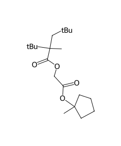 CC(C)(C)CC(C)(C(=O)OCC(=O)OC1(C)CCCC1)C(C)(C)C